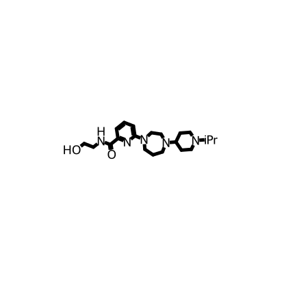 CC(C)N1CCC(N2CCCN(c3cccc(C(=O)NCCO)n3)CC2)CC1